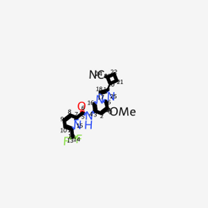 COc1cc(NC(=O)c2cccc(C(F)F)n2)cn2cc([C@@H]3CCC3C#N)nc12